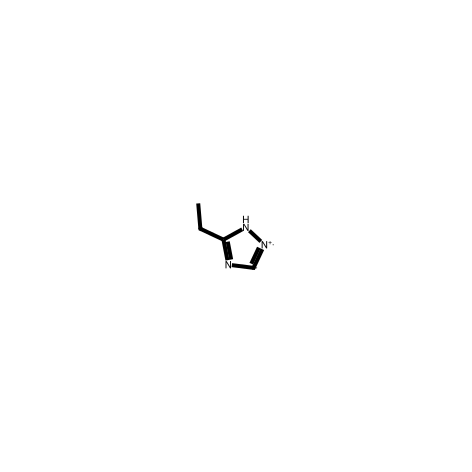 CCC1=N[C]=[N+]N1